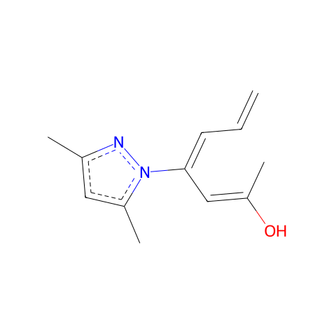 C=C/C=C(\C=C(/C)O)n1nc(C)cc1C